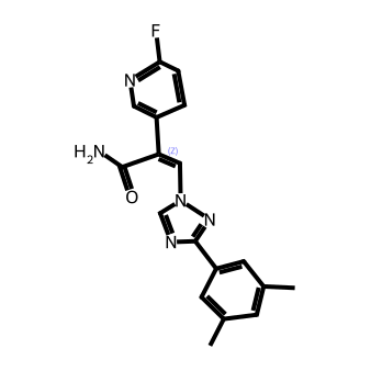 Cc1cc(C)cc(-c2ncn(/C=C(\C(N)=O)c3ccc(F)nc3)n2)c1